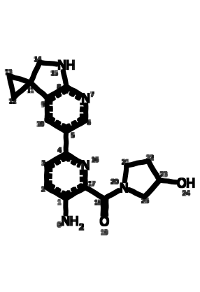 Nc1ccc(-c2cnc3c(c2)C2(CC2)CN3)nc1C(=O)N1CCC(O)C1